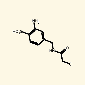 Nc1cc(CNC(=O)CCl)ccc1S(=O)(=O)O